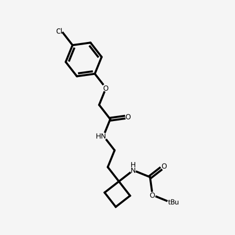 CC(C)(C)OC(=O)NC1(CCNC(=O)COc2ccc(Cl)cc2)CCC1